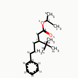 CC(C)OC(=O)CC(CCCc1ccccc1)C(C)(C)C